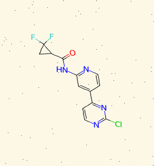 O=C(Nc1cc(-c2ccnc(Cl)n2)ccn1)C1CC1(F)F